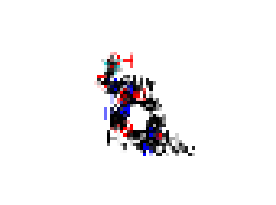 CCn1c(-c2cccnc2[C@H](C)OC)c2c3cc(ccc31)-c1cccc(c1)C[C@H](NC(=O)C(C(C)C)N(C)C(=O)[C@H]1CCN(C(=O)C#CC(O)(F)F)C1)C(=O)N1CCC[C@H](N1)C(=O)OCC(C)(C)C2